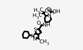 Cc1nn(C2CCCCC2)c2sc(C(=O)NC3CCN(C(=O)O)C(C(C)(C)C)C3)cc12